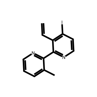 C=Cc1c(I)ccnc1-c1ncccc1C